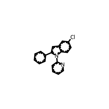 Clc1ccc2c(c1)cc(-c1ccccc1)n2-c1ccccn1